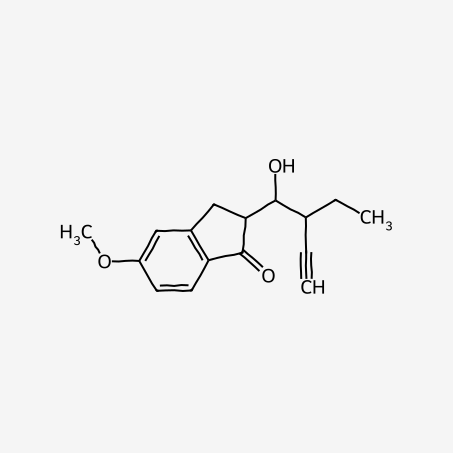 C#CC(CC)C(O)C1Cc2cc(OC)ccc2C1=O